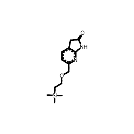 C[Si](C)(C)CCOCc1ccc2c(n1)NC(=O)C2